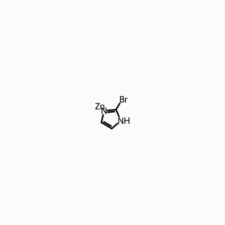 Brc1ncc[nH]1.[Zn]